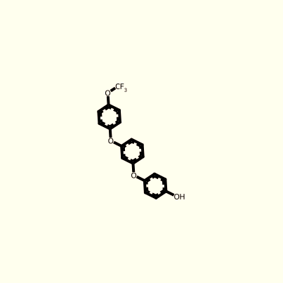 Oc1ccc(Oc2cccc(Oc3ccc(OC(F)(F)F)cc3)c2)cc1